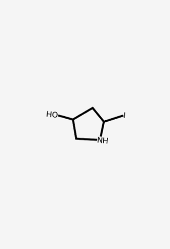 OC1CNC(I)C1